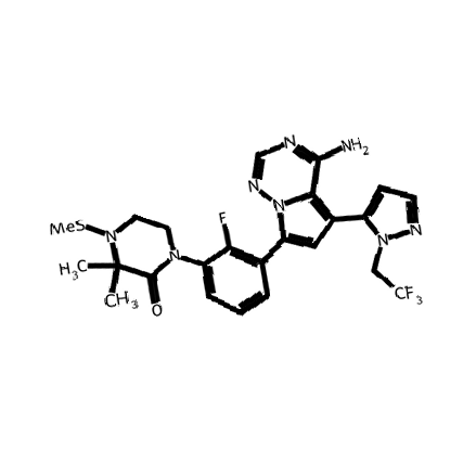 CSN1CCN(c2cccc(-c3cc(-c4ccnn4CC(F)(F)F)c4c(N)ncnn34)c2F)C(=O)C1(C)C